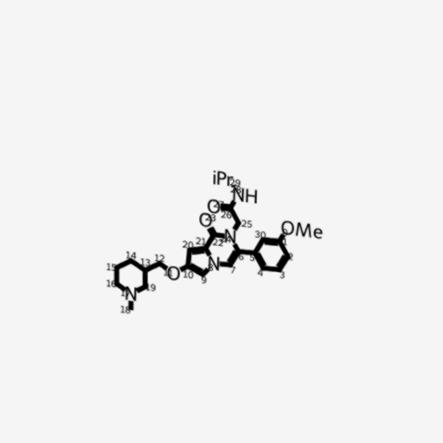 COc1cccc(-c2cn3cc(OCC4CCCN(C)C4)cc3c(=O)n2CC(=O)NC(C)C)c1